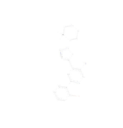 Nc1nnc(-c2ccccc2O)cc1-c1cnn([C@H]2CCNCC2(F)F)c1